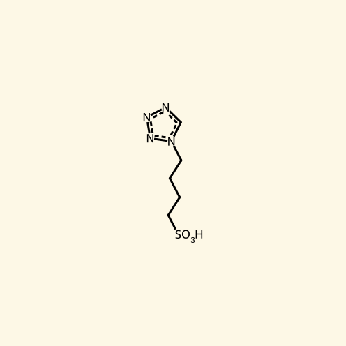 O=S(=O)(O)CCCCn1cnnn1